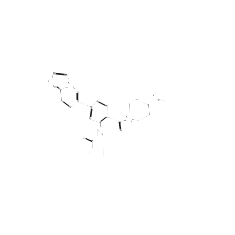 CC(=O)Nc1cc(-c2ccc3nccn3c2)ccc1C(=O)N1CCC(N(C)C)CC1